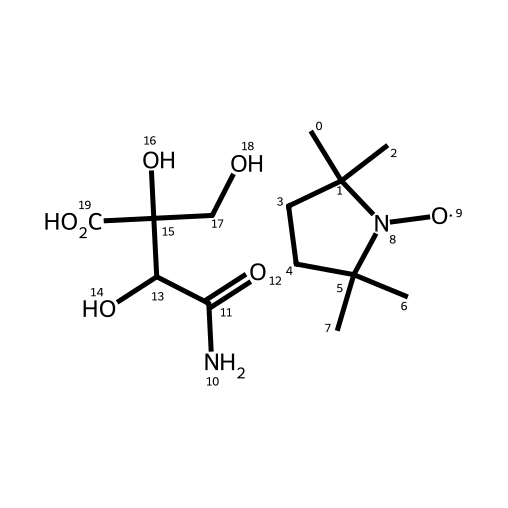 CC1(C)CCC(C)(C)N1[O].NC(=O)C(O)C(O)(CO)C(=O)O